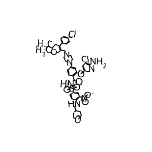 CC1(C)CC(c2ccc(Cl)cc2)=C(CN2CCN(c3ccc(C(=O)NS(=O)(=O)c4ccc(NCC5CCOCC5)c([N+](=O)[O-])c4)c(Oc4cnc(N)c(Cl)c4)c3)CC2)CO1